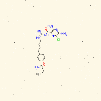 N=C(NCCCCc1ccc(O[C@@H](N)CC(=O)O)cc1)NC(=O)c1nc(Cl)c(N)nc1N